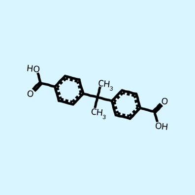 CC(C)(c1ccc(C(=O)O)cc1)c1ccc(C(=O)O)cc1